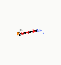 CC(C)CCP(C)C(C)CCOCCCCOCCCCOOCCCN